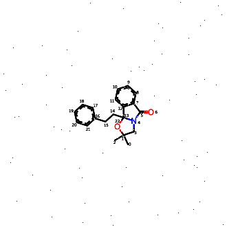 CC1(C)CN2C(=O)c3ccccc3C2(CCc2ccccc2)O1